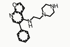 c1ccc(-c2cnc3occc3c2NCCN2CCNCC2)cc1